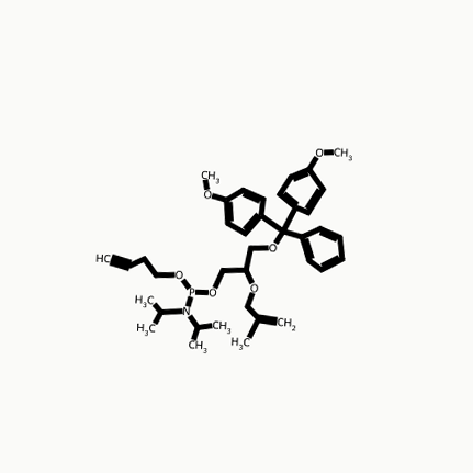 C#CCCOP(OCC(COC(c1ccccc1)(c1ccc(OC)cc1)c1ccc(OC)cc1)OCC(=C)C)N(C(C)C)C(C)C